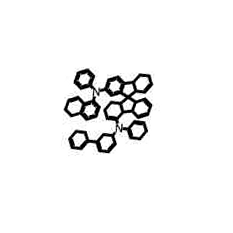 C1=CCCC(C2=CC=CC(N(C3=CCCC=C3)C3=CCCC4C3C3C=CC=CC3C43c4cc(N(c5ccccc5)c5cccc6c5C=CCC6)ccc4C4CCC=CC43)C2)=C1